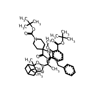 COc1c(C(=O)OC(C)(C)C)cccc1N(C(=O)C1(NC(=O)OCc2ccccc2)CCN(C(=O)OC(C)(C)C)CC1)C(C)B1OC2CC3CC(C3(C)C)C2(C)O1